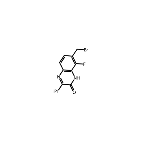 CC(C)c1nc2ccc(CBr)c(F)c2[nH]c1=O